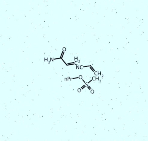 C=CC#N.C=CC(N)=O.CCCOS(C)(=O)=O